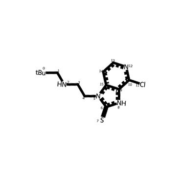 CC(C)(C)CNCCn1c(=S)[nH]c2c(Cl)nccc21